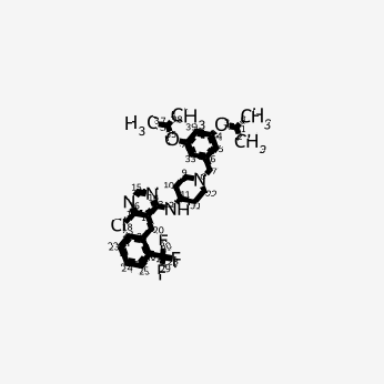 CC(C)Oc1cc(CN2CCC(Nc3ncnc(Cl)c3Cc3ccccc3C(F)(F)F)CC2)cc(OC(C)C)c1